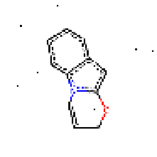 C1=Cn2c(cc3ccccc32)OC1